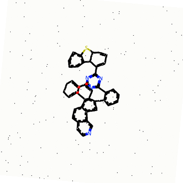 C1=CC2Sc3ccccc3C2C(c2nc(C3=CCCC=C3)nc(-c3ccccc3-c3cc4c(ccc5ccncc54)c4c3C=CCC4)n2)=C1